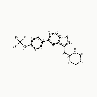 FC(F)(F)Oc1ccc(-c2cn3c(C[C@@H]4CCCCO4)nnc3cn2)cc1